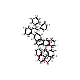 c1ccc(-c2cccc(-c3ccccc3)c2N(c2cccc(-c3ccc4c(c3)c(-c3ccccc3)c(-c3ccccc3)c3ccccc34)c2)c2c(-c3ccccc3)cccc2-c2ccccc2)cc1